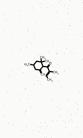 C=C1CC(C)CC(C)(C)C1C(=O)C(C)=CC